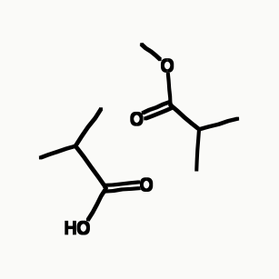 CC(C)C(=O)O.COC(=O)C(C)C